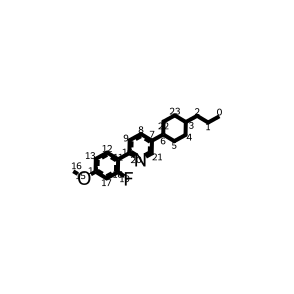 CCCC1CCC(c2ccc(-c3ccc(OC)cc3F)nc2)CC1